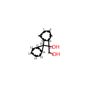 OCC1(O)c2ccccc2C12c1ccccc12